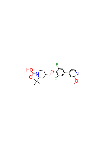 COc1cc(-c2cc(F)c(OCC3CCN(C(=O)O)C(C(C)(C)C)C3)c(F)c2)ccn1